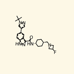 CC(C)(C)n1cc(-c2ccc3[nH]nc(C(=O)N[C@H]4CC[C@H](CN5CC(F)C5)CC4)c3c2)cn1